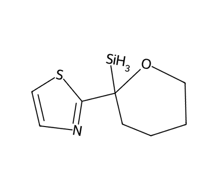 [SiH3]C1(c2nccs2)CCCCO1